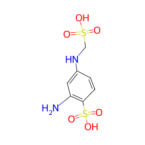 Nc1cc(NCS(=O)(=O)O)ccc1S(=O)(=O)O